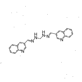 C(=N\NCN/N=C/c1cnc2ccccc2c1)/c1cnc2ccccc2c1